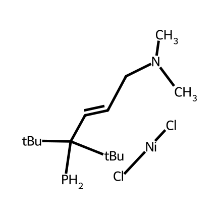 CN(C)C/C=C/C(P)(C(C)(C)C)C(C)(C)C.[Cl][Ni][Cl]